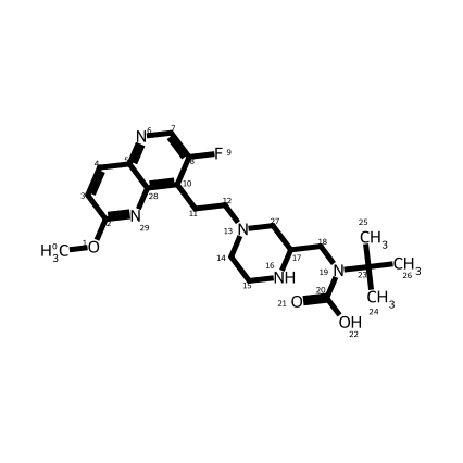 COc1ccc2ncc(F)c(CCN3CCNC(CN(C(=O)O)C(C)(C)C)C3)c2n1